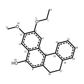 CCOc1cc2c3c(cc(O)c2cc1OC)CCc1ccccc1-3